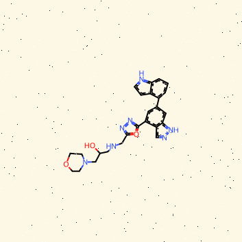 OC(CNCc1nnc(-c2cc(-c3cccc4[nH]ccc34)cc3[nH]ncc23)o1)CN1CCOCC1